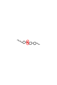 CCCCCC1CCC(C(=O)OC2CCC(C3CCC(CCC)CC3)CC2)CC1